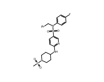 CC(C)CN(c1ccc(F)cc1)S(=O)(=O)c1ccc(NC2CCN(S(C)(=O)=O)CC2)nc1